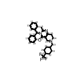 Cc1nc2c(c(=O)n1C(c1ccccc1)c1ccccc1)CN(CC1CCC(C(F)(F)F)CC1)CC2